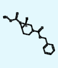 CC(C)(C)OC(=O)N1C2CCN(C(=O)OCc3ccccc3)C[C@H]21